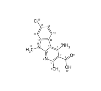 Cc1nc2c(c(N)c1C(=O)O)c1ccc(Cl)cc1n2C